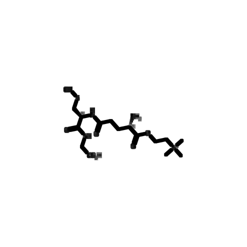 C[N+](C)(C)CCOC(=O)[C@@H](N)CCC(=O)N[C@H](CSN=O)C(=O)NCC(=O)O